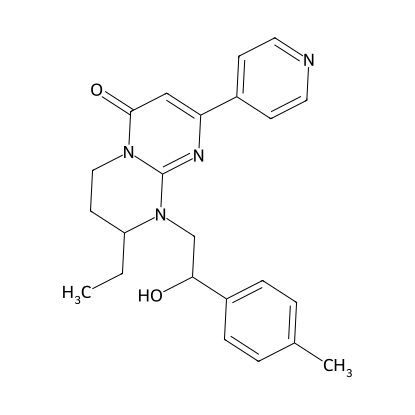 CCC1CCn2c(nc(-c3ccncc3)cc2=O)N1CC(O)c1ccc(C)cc1